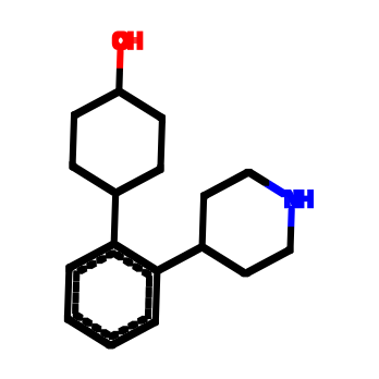 OC1CCC(c2ccccc2C2CCNCC2)CC1